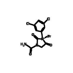 CC(C)[N+]1(c2cc(Cl)cc(Cl)c2)C(=O)CN(C(N)=O)C1=O